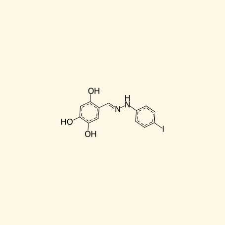 Oc1cc(O)c(C=NNc2ccc(I)cc2)cc1O